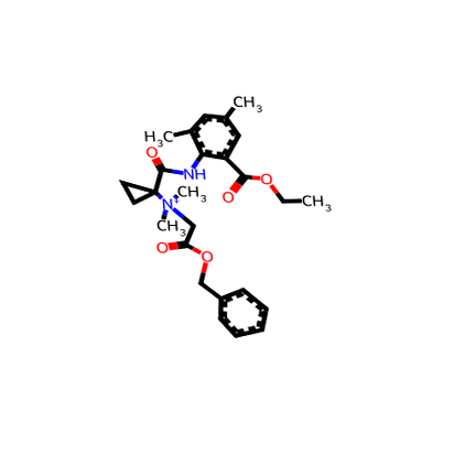 CCOC(=O)c1cc(C)cc(C)c1NC(=O)C1([N+](C)(C)CC(=O)OCc2ccccc2)CC1